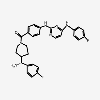 N[C@@H](c1ccc(F)cc1)C1CCN(C(=O)c2ccc(Nc3nccc(Nc4ccc(F)cc4)n3)cc2)CC1